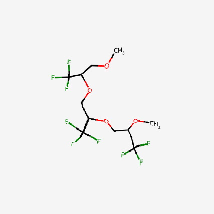 COCC(OCC(OCC(OC)C(F)(F)F)C(F)(F)F)C(F)(F)F